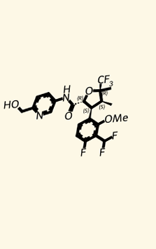 COc1c([C@H]2[C@H](C(=O)Nc3ccc(CO)nc3)O[C@@](C)(C(F)(F)F)[C@H]2C)ccc(F)c1C(F)F